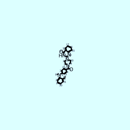 CN(c1ccc(C(=O)N2CCN(c3nc4ccccc4c(=O)[nH]3)CC2)cc1)c1ccccc1I